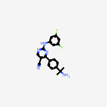 CC(C)(N)c1ccc(-c2nc(Nc3cc(F)cc(F)c3)ncc2C#N)cc1